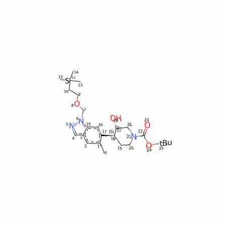 Cc1cc2cnn(COCC[Si](C)(C)C)c2cc1[C@@H]1CCN(C(=O)OC(C)(C)C)C[C@H]1O